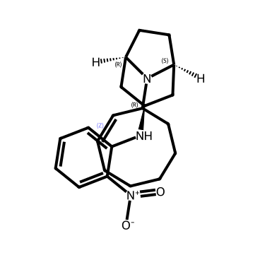 O=[N+]([O-])c1ccccc1N[C@H]1C[C@H]2CC[C@@H](C1)N2C1/C=C\CCCCC1